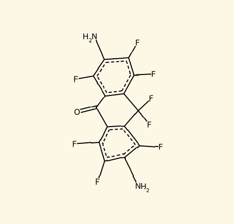 Nc1c(F)c(F)c2c(c1F)C(=O)c1c(F)c(F)c(N)c(F)c1C2(F)F